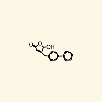 O=C1C=C(Cc2ccc(-c3ccccc3)cc2)C(O)O1